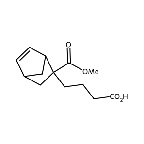 COC(=O)C1(CCCC(=O)O)CC2C=CC1C2